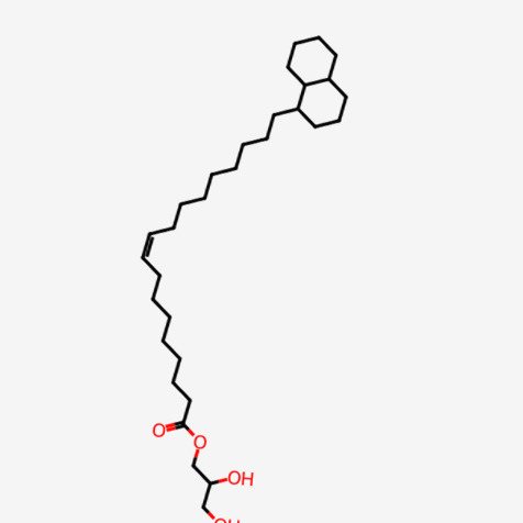 O=C(CCCCCCC/C=C\CCCCCCCCC1CCCC2CCCCC12)OCC(O)CO